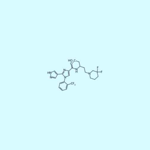 O=C(O)CC(CCN1CCCC(F)(F)C1)NC(=O)c1cn(-c2ccccc2C(F)(F)F)c(-c2cn[nH]c2)n1